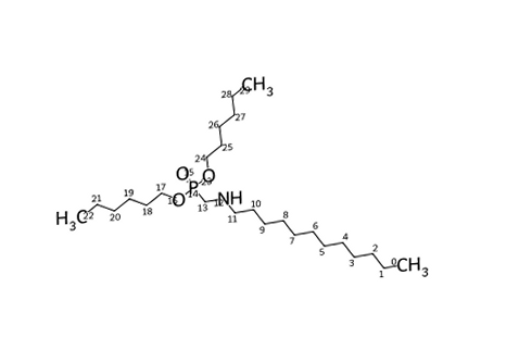 CCCCCCCCCCCCNCP(=O)(OCCCCCC)OCCCCCC